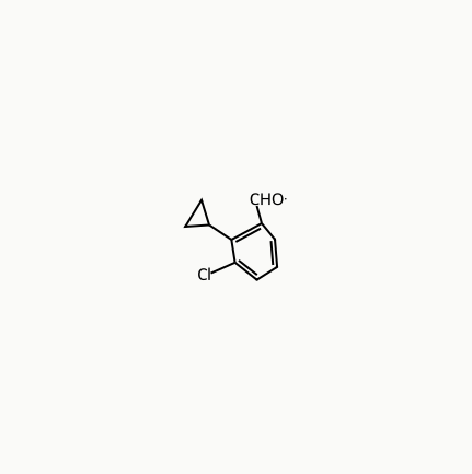 O=[C]c1cccc(Cl)c1C1CC1